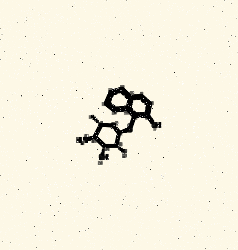 C[C@@H]1O[C@@H](Oc2c(O)ccc3ccccc23)[C@H](F)[C@H](O)[C@H]1N